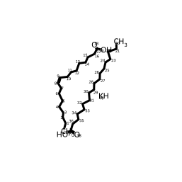 CCCCCCCC/C=C\CCCCCCCC(=O)O.CCCCCCCCCCCCCCCCCC(=O)O.[KH]